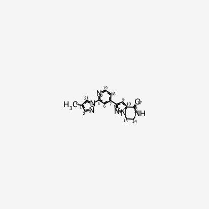 Cc1cnn(-c2cc(-c3cc4n(n3)CCNC4=O)ccn2)c1